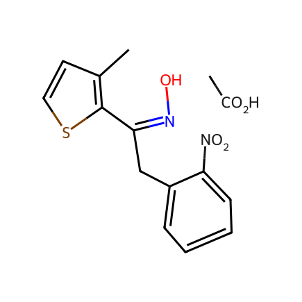 CC(=O)O.Cc1ccsc1C(Cc1ccccc1[N+](=O)[O-])=NO